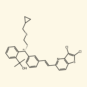 CC(C)(O)c1ccccc1[C@H](CCSCC1CC1)c1cccc(C=Cc2ccc3sc(Cl)c(Cl)c3n2)c1